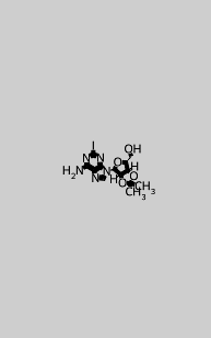 CC1(C)O[C@@H]2[C@H](O1)[C@@H](CO)O[C@H]2n1cnc2c(N)nc(I)nc21